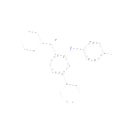 CC[C@@H](c1ccc(C(COC)CC(=O)O)cc1Nc1ccc(Cl)cc1)N1CCOCC1